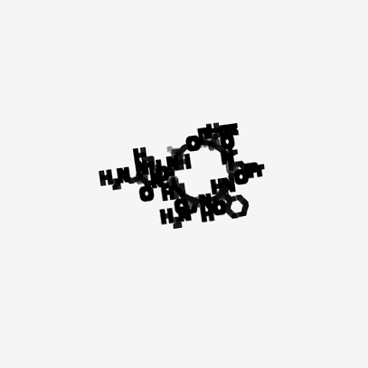 CCCCCC[C@H]1OC[C@@H](C)NC(=O)[C@H](CNC(=O)[C@H](N)CN)NC(=O)[C@H](CN)NC(=O)[C@H](C2CCCCC2)NC(=O)[C@H](CC(C)C)N(C)C(=O)[C@@H]1C